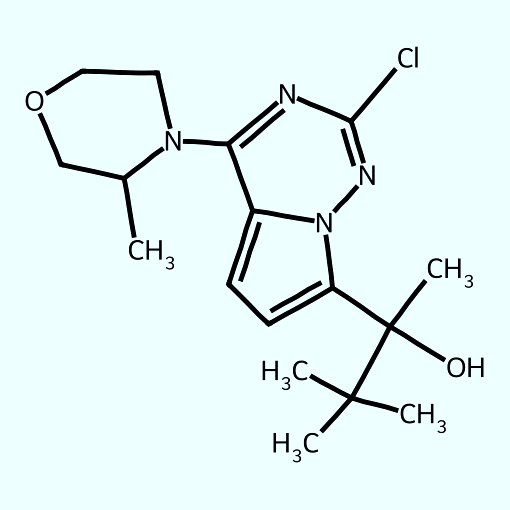 CC1COCCN1c1nc(Cl)nn2c(C(C)(O)C(C)(C)C)ccc12